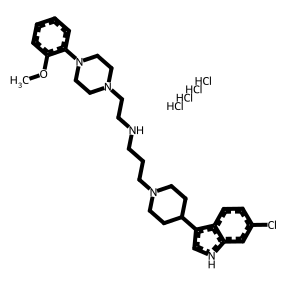 COc1ccccc1N1CCN(CCNCCCN2CCC(c3c[nH]c4cc(Cl)ccc34)CC2)CC1.Cl.Cl.Cl.Cl